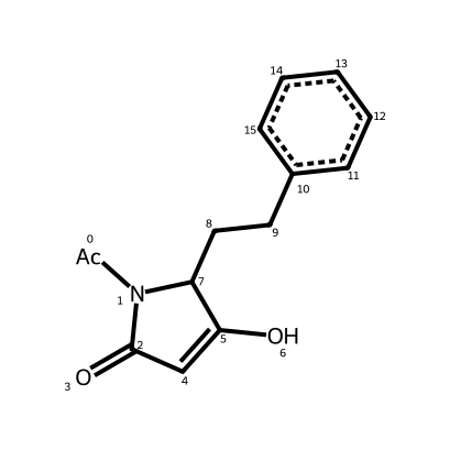 CC(=O)N1C(=O)C=C(O)C1CCc1ccccc1